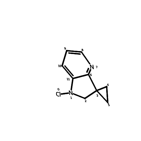 ClN1CC2(CC2)c2ncccc21